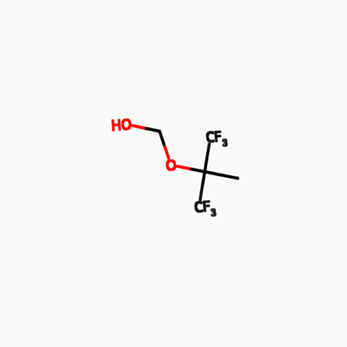 CC(OCO)(C(F)(F)F)C(F)(F)F